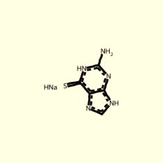 Nc1nc2[nH]cnc2c(=S)[nH]1.[NaH]